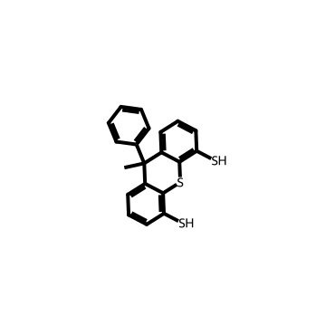 CC1(c2ccccc2)c2cccc(S)c2Sc2c(S)cccc21